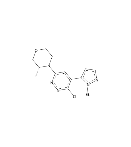 CCn1nccc1-c1cc(N2CCOC[C@H]2C)nnc1Cl